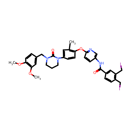 COc1ccc(CN2CCCN(c3ccc(Oc4ccc(NC(=O)c5ccc(CI)c(CI)c5)cn4)c(C)c3)C2=O)cc1OC